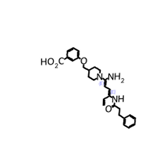 C=C/C(=C\C=C(/N)N1CCC(COc2cccc(C(=O)O)c2)CC1)NC(=O)CCc1ccccc1